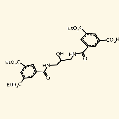 CCOC(=O)c1cc(C(=O)O)cc(C(=O)NCC(O)CNC(=O)c2cc(C(=O)OCC)cc(C(=O)OCC)c2)c1